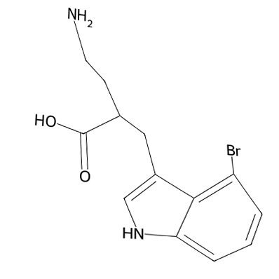 NCCC(Cc1c[nH]c2cccc(Br)c12)C(=O)O